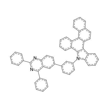 c1ccc(-c2nc(-c3ccccc3)c3cc(-c4cccc(-n5c6ccccc6c6c7ccc8ccccc8c7c7ccccc7c65)c4)ccc3n2)cc1